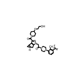 Cc1c(C(F)F)cccc1N1CCN(C(=O)Cn2nc(C(=O)N3CCC(OCCO)CC3)c3c2C[C@H]2CC32)CC1